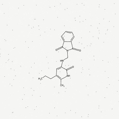 CCCc1cc(NCN2C(=O)c3ccccc3C2=O)c(=O)[nH]c1C